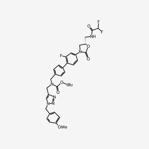 COc1ccc(Cn2cc(CN(Cc3ccc(-c4ccc(N5C[C@H](CNC(=O)C(F)F)OC5=O)cc4F)cc3)C(=O)OC(C)(C)C)nn2)cc1